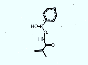 C=C(C)C(=O)NOB(O)c1ccccc1